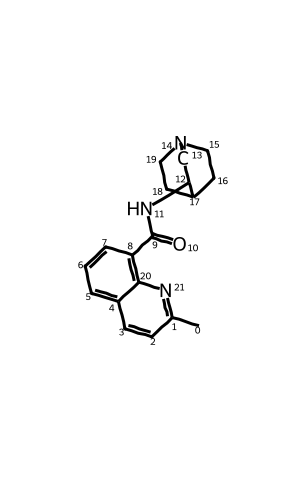 Cc1ccc2cccc(C(=O)NC3CN4CCC3CC4)c2n1